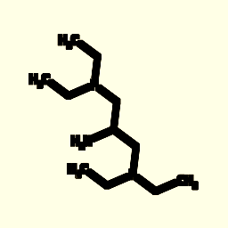 CCP(CC)CC(N)CP(CC)CC